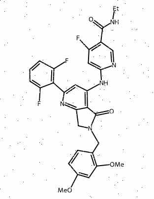 CCNC(=O)c1cnc(Nc2cc(-c3c(F)cccc3F)nc3c2C(=O)N(Cc2ccc(OC)cc2OC)C3)cc1F